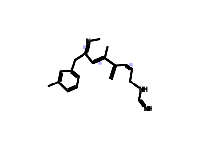 C=C(/C=C\CNC=N)/C(C)=C/C(Cc1cccc(C)c1)=N\C